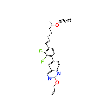 C=CCOc1ncc2cc(-c3ccc(/C=C/CCCC(C)OCCCCC)c(F)c3F)ccc2n1